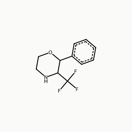 FC(F)(F)C1NCCOC1c1ccccc1